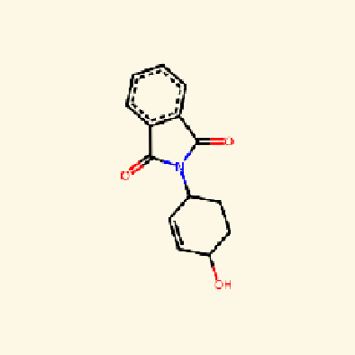 O=C1c2ccccc2C(=O)N1C1C=CC(O)CC1